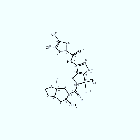 C[C@H]1CN2CCC[C@H]2CN1C(=O)N1Cc2c(NC(=O)c3nc(Cl)c(Cl)s3)n[nH]c2C1(C)C